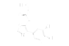 COC(=O)Cc1s[c]nc1-c1ccc(Cl)c(Cl)c1